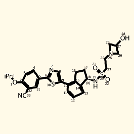 CC(C)Oc1ccc(-c2ncc(-c3cccc4c3CC[C@H]4NS(=O)(=O)CCN3CC(O)C3)s2)cc1C#N